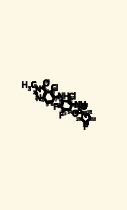 Cn1cnc2ccc(Nc3c(F)c(F)cc(NS(=O)(=O)N4CC[C@@H](F)C4)c3Cl)c(Cl)c2c1=O